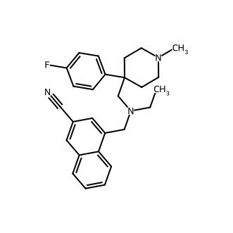 CCN(Cc1cc(C#N)cc2ccccc12)CC1(c2ccc(F)cc2)CCN(C)CC1